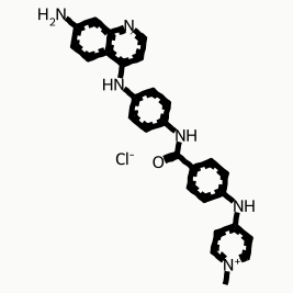 C[n+]1ccc(Nc2ccc(C(=O)Nc3ccc(Nc4ccnc5cc(N)ccc45)cc3)cc2)cc1.[Cl-]